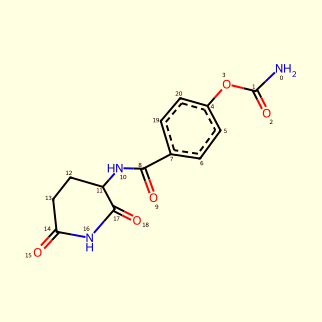 NC(=O)Oc1ccc(C(=O)NC2CCC(=O)NC2=O)cc1